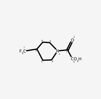 O=C(O)C(=O)N1CCC(C(F)(F)F)CC1